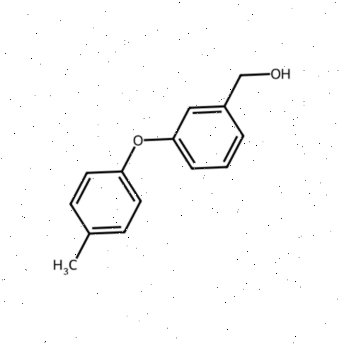 Cc1ccc(Oc2cccc(CO)c2)cc1